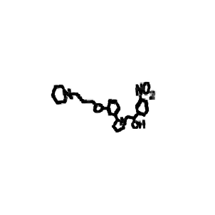 O=[N+]([O-])c1cccc(C(O)CN2CCCC2c2cccc(OCCCN3CCCCC3)c2)c1